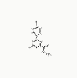 COC(=O)c1cc(Cl)cc(-c2ccc(F)cc2)n1